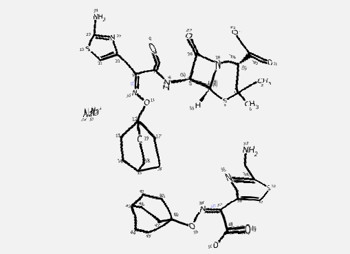 CC1(C)S[C@@H]2[C@@H](NC(=O)/C(=N\OC34CCC(CC3)CC4)c3csc(N)n3)C(=O)N2[C@H]1C(=O)[O-].Nc1nc(/C(=N/OC23CCC(CC2)CC3)C(=O)[O-])cs1.[Na+].[Na+]